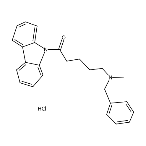 CN(CCCCC(=O)n1c2ccccc2c2ccccc21)Cc1ccccc1.Cl